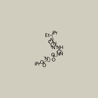 CC[C@H](Cn1ccc2cnc(Nc3cnn(CC(=O)O[C@@H]4C[C@@H](C(=O)OC(C)C)N(C)C4)c3)nc21)C(C)C